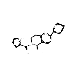 CC1c2cnc(-c3ccccn3)nc2CCN1C(=O)c1ccc[nH]1